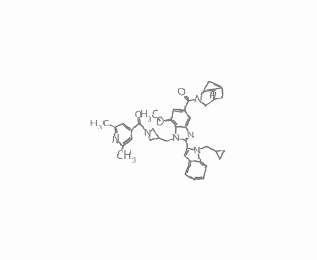 COc1cc(C(=O)N2CC3CC4CC2[C@H]43)cc2nc(-c3cc4ccccc4n3CC3CC3)n(CC3CN(C(=O)c4cc(C)nc(C)c4)C3)c12